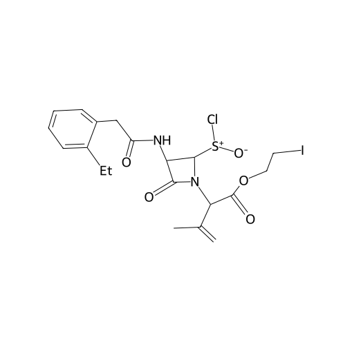 C=C(C)C(C(=O)OCCI)N1C(=O)C(NC(=O)Cc2ccccc2CC)C1[S+]([O-])Cl